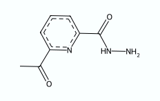 CC(=O)c1cccc(C(=O)NN)n1